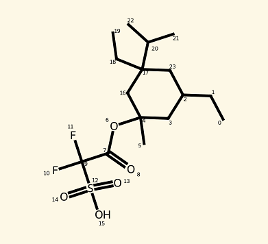 CCC1CC(C)(OC(=O)C(F)(F)S(=O)(=O)O)CC(CC)(C(C)C)C1